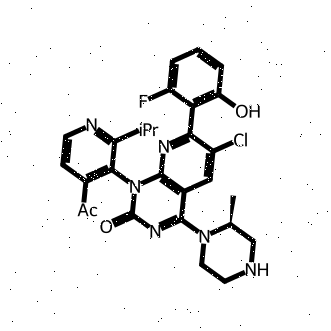 CC(=O)c1ccnc(C(C)C)c1-n1c(=O)nc(N2CCNC[C@@H]2C)c2cc(Cl)c(-c3c(O)cccc3F)nc21